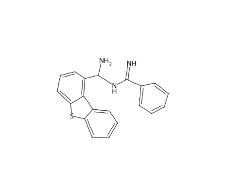 N=C(NC(N)c1cccc2sc3ccccc3c12)c1ccccc1